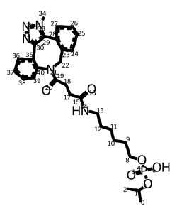 CC(C)OP(=O)(O)OCCCCCCNC(=O)CCC(=O)N1Cc2ccccc2-c2c(nnn2C)-c2ccccc21